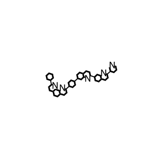 c1ccc(-c2ccc3ccc4ccc(-c5ccc(-c6ccc7ccc(-c8ccc9ccc(-c%10cccnc%10)nc9c8)nc7c6)cc5)nc4c3n2)cc1